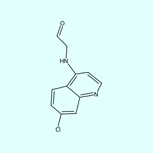 O=CCNc1ccnc2cc(Cl)ccc12